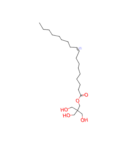 CCCCCCCC/C=C\CCCCCCCC(=O)OCC(CO)(CO)CO